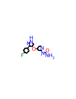 CN(C(N)=O)c1cc(Oc2c[nH]nc2-c2ccc(F)cc2)ccn1